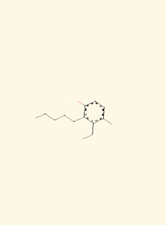 CCCCCc1c(O)ccc(C)c1CC